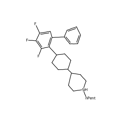 CCCCC[SiH]1CCC(C2CCC(c3c(-c4ccccc4)cc(F)c(F)c3F)CC2)CC1